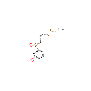 CCCSS/C=C\C[S+]([O-])c1cccc(OC)c1